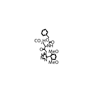 COc1cccc(OC)c1-c1nnnn1CC(=O)C(CC(=O)O)NC(=O)OCc1ccccc1